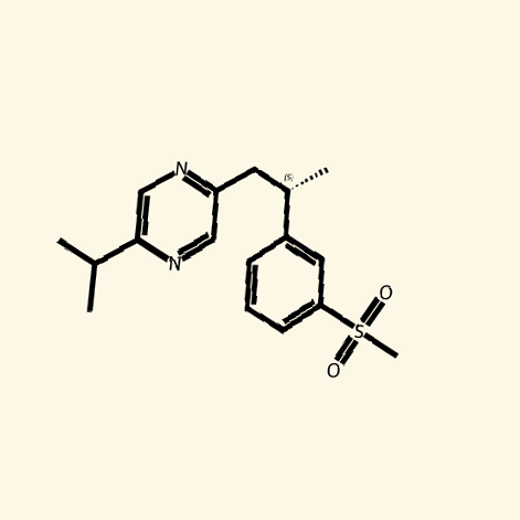 CC(C)c1cnc(C[C@H](C)c2cccc(S(C)(=O)=O)c2)cn1